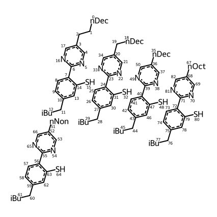 CCCCCCCCCCCCc1cnc(-c2ccc(CC(C)CC)cc2S)nc1.CCCCCCCCCCCc1cnc(-c2ccc(CC(C)CC)cc2S)nc1.CCCCCCCCCCc1cnc(-c2ccc(CC(C)CC)cc2S)nc1.CCCCCCCCCc1cnc(-c2ccc(CC(C)CC)cc2S)nc1.CCCCCCCCc1cnc(-c2ccc(CC(C)CC)cc2S)nc1